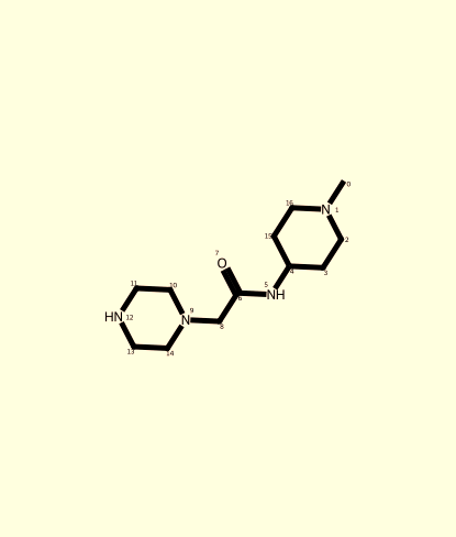 CN1CCC(NC(=O)CN2CCNCC2)CC1